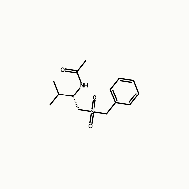 CC(=O)N[C@H](CS(=O)(=O)Cc1ccccc1)C(C)C